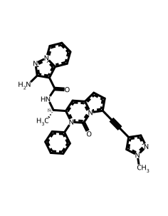 C[C@H](NC(=O)c1c(N)nn2ccccc12)c1cc2ccc(C#Cc3cnn(C)c3)n2c(=O)n1-c1ccccc1